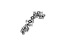 COC(=O)N[C@H](C(=O)N1CCC[C@H]1c1ncc(-c2cc3c(cc2F)-c2ccc(-c4cnc([C@@H]5CCCN5C(=O)[C@@H](NC(=O)OC)C(C)C)[nH]4)c(F)c2CO3)[nH]1)C(C)C